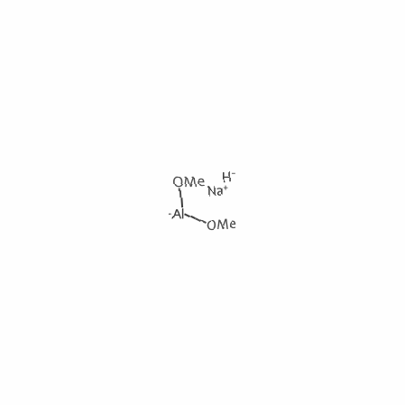 C[O][Al][O]C.[H-].[Na+]